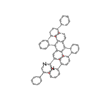 c1ccc(-c2ccc(-c3ccccc3-c3c4ccccc4c(-c4ccccc4-c4ccc(-c5ccccc5)cc4)c4cc(-c5ncc(-c6ccccc6)cn5)ccc34)cc2)cc1